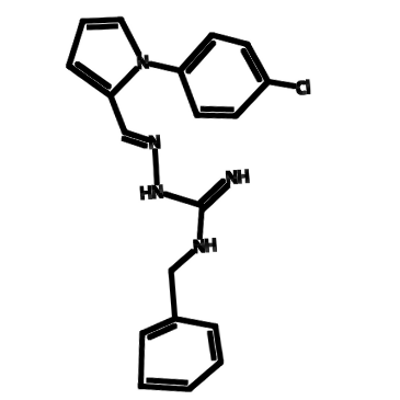 N=C(NCc1ccccc1)N/N=C/c1cccn1-c1ccc(Cl)cc1